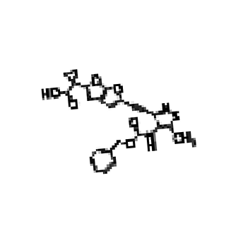 Cc1snc(C#Cc2cc3cc(C4(C(=O)O)CC4)oc3o2)c1NC(=O)OCc1ccccc1